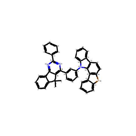 CC1(C)c2ccccc2-c2nc(-c3ccccc3)nc(-c3cccc(-n4c5ccccc5c5ccc6sc7ccccc7c6c54)c3)c21